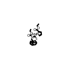 CCOC(=O)c1cccn1NC(=S)N(CC12CC3CC(CC(C3)C1)C2)C(=O)OCC